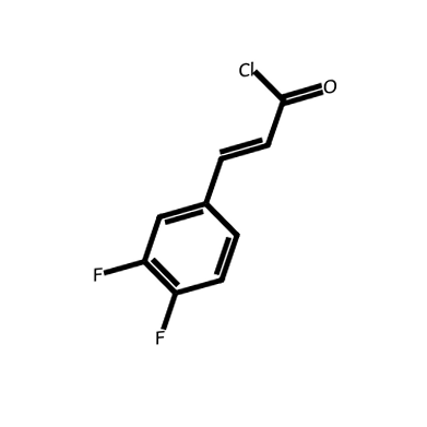 O=C(Cl)C=Cc1ccc(F)c(F)c1